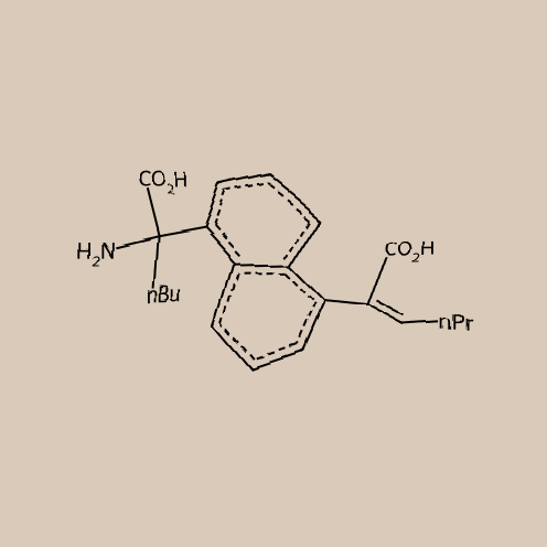 CCC/C=C(\C(=O)O)c1cccc2c(C(N)(CCCC)C(=O)O)cccc12